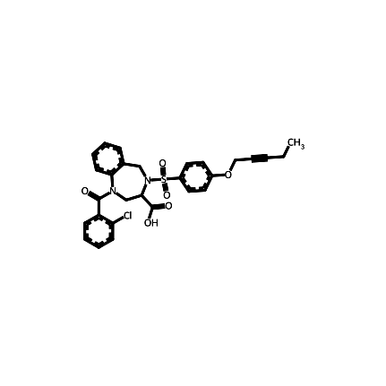 CCC#CCOc1ccc(S(=O)(=O)N2Cc3ccccc3N(C(=O)c3ccccc3Cl)CC2C(=O)O)cc1